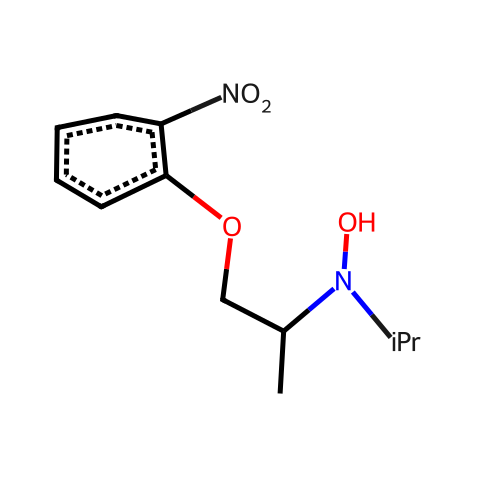 CC(C)N(O)C(C)COc1ccccc1[N+](=O)[O-]